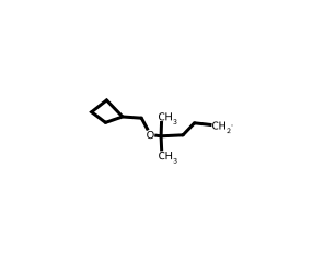 [CH2]CCC(C)(C)OCC1CCC1